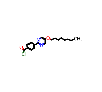 CCCCCCCCOc1cnc(-c2ccc(C(=O)Cl)cc2)nc1